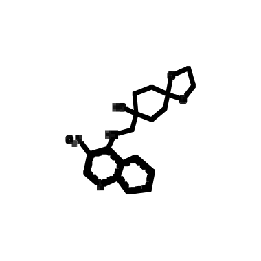 O=[N+]([O-])c1cnc2ccccc2c1NCC1(O)CCC2(CC1)OCCO2